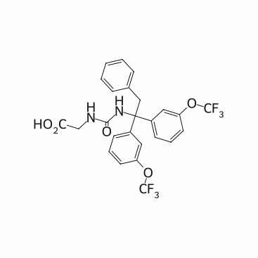 O=C(O)CNC(=O)NC(Cc1ccccc1)(c1cccc(OC(F)(F)F)c1)c1cccc(OC(F)(F)F)c1